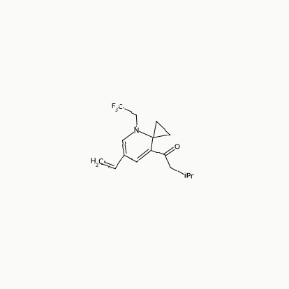 C=CC1=CN(CC(F)(F)F)C2(CC2)C(C(=O)CC(C)C)=C1